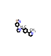 Cc1cc(-c2cccnc2C)ccc1CN1CCC[C@H]1c1ccc2scnc2c1